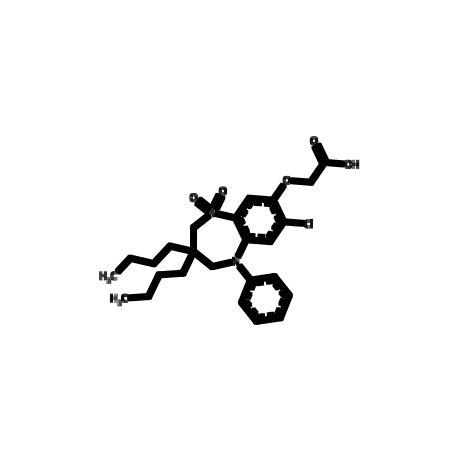 CCCCC1(CCCC)CN(c2ccccc2)c2cc(Cl)c(OCC(=O)O)cc2S(=O)(=O)C1